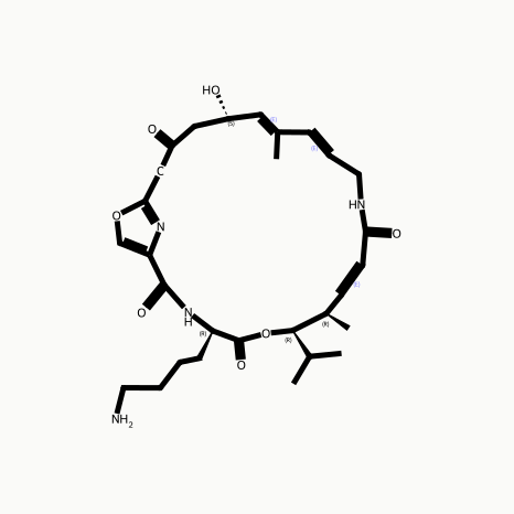 CC1=C\[C@@H](O)CC(=O)Cc2nc(co2)C(=O)N[C@H](CCCCN)C(=O)O[C@H](C(C)C)[C@H](C)/C=C/C(=O)NC\C=C\1